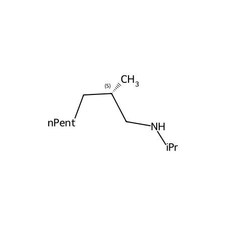 CCCCCC[C@H](C)CNC(C)C